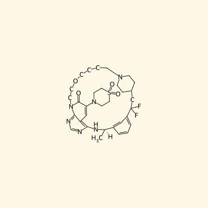 C[C@H]1Nc2ncnc3c2cc(N2CCS(=O)(=O)CC2)c(=O)n3CCOCCCCN2CCC(CC2)CC(F)(F)c2cccc1c2